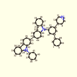 c1ccc(-c2cc(-c3ccncc3)cc(-n3c4ccccc4c4cc(-c5ccc6c7ccccc7n(-c7ccccc7)c6c5)ccc43)c2)cc1